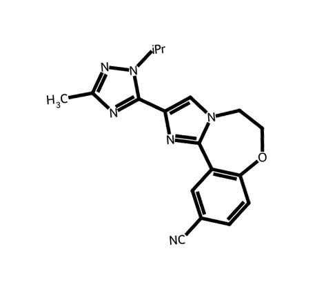 Cc1nc(-c2cn3c(n2)-c2cc(C#N)ccc2OCC3)n(C(C)C)n1